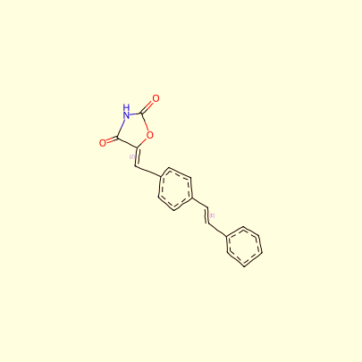 O=C1NC(=O)/C(=C/c2ccc(/C=C/c3ccccc3)cc2)O1